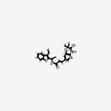 CCc1c(C(C)N(C)C(=O)C=Cc2cnc3c(c2)OC(C)(C)C(=O)N3)oc2ccccc12